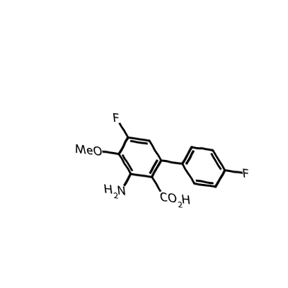 COc1c(F)cc(-c2ccc(F)cc2)c(C(=O)O)c1N